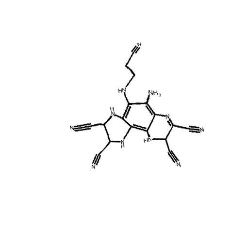 N#CCCNc1c(N)c2c(c3c1NC(C#N)C(C#N)N3)NC(C#N)C(C#N)=N2